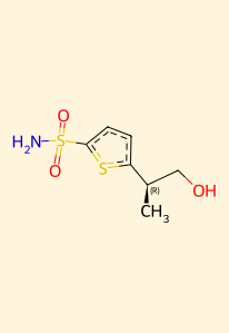 C[C@H](CO)c1ccc(S(N)(=O)=O)s1